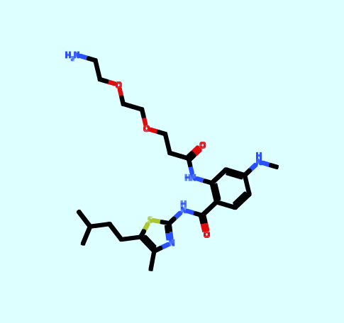 CNc1ccc(C(=O)Nc2nc(C)c(CCC(C)C)s2)c(NC(=O)CCOCCOCCN)c1